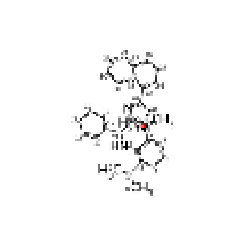 CC(C)c1cccc(C(C)C)c1NC(c1ccccc1)c1nc(-c2cccc3ccccc23)cs1